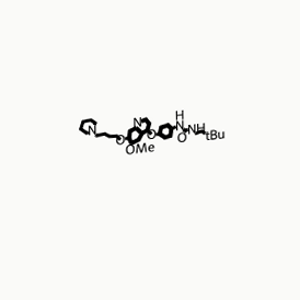 COc1cc2c(Oc3ccc(NC(=O)NCCC(C)(C)C)cc3)ccnc2cc1OCCCCN1CCCCC1